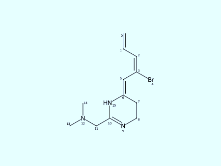 C=C/C=C(Br)\C=C1/CCN=C(CN(C)C)N1